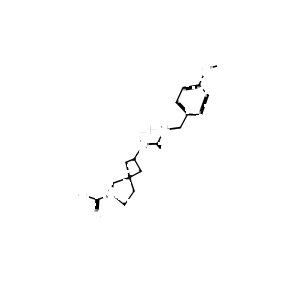 COc1ccc(CNC(=O)NC2CC3(CCN(C(=O)O)C3)C2)cc1